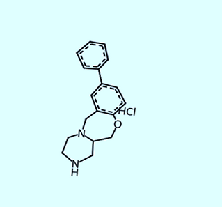 Cl.c1ccc(-c2ccc3c(c2)CN2CCNCC2CO3)cc1